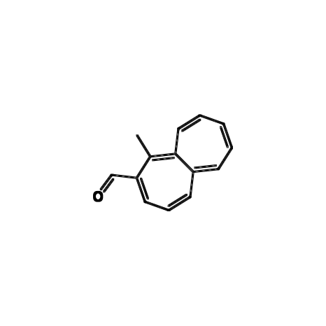 CC1=C2C=CC=CC=C2C=CC=C1C=O